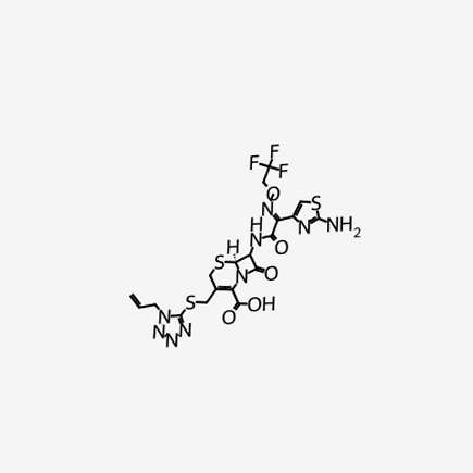 C=CCn1nnnc1SCC1=C(C(=O)O)N2C(=O)C(NC(=O)C(=NOCC(F)(F)F)c3csc(N)n3)[C@@H]2SC1